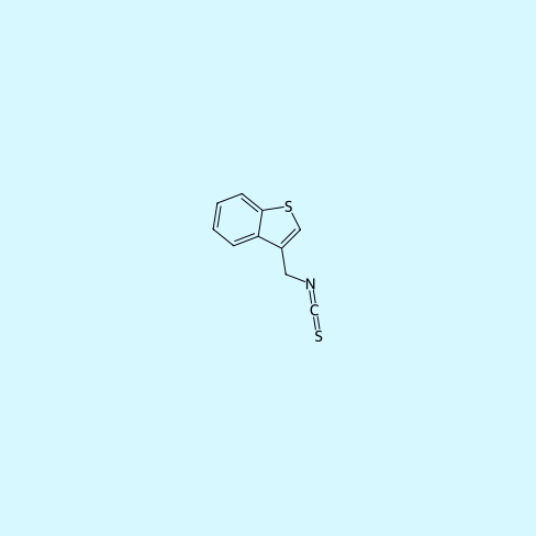 S=C=NCc1csc2ccccc12